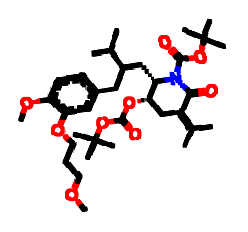 COCCCOc1cc(CC(C[C@H]2[C@@H](OC(=O)OC(C)(C)C)CC(=C(C)C)C(=O)N2C(=O)OC(C)(C)C)C(C)C)ccc1OC